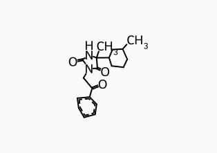 CC1CCCC(C2(C)NC(=O)N(CC(=O)c3ccccc3)C2=O)C1